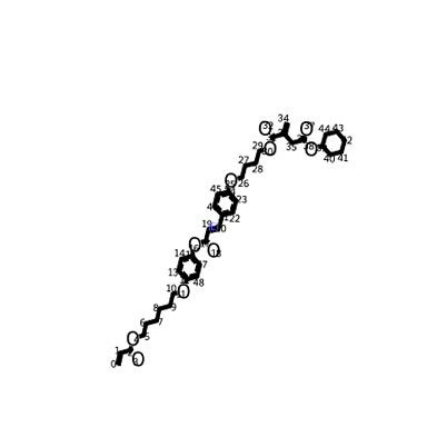 C=CC(=O)OCCCCCCOc1ccc(OC(=O)/C=C/c2ccc(OCCCCOC(=O)C(=C)CC(=O)OC3CCCCC3)cc2)cc1